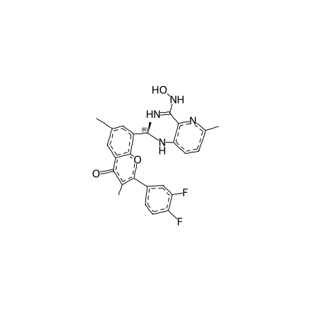 Cc1cc([C@@H](C)Nc2ccc(C)nc2C(=N)NO)c2oc(-c3ccc(F)c(F)c3)c(C)c(=O)c2c1